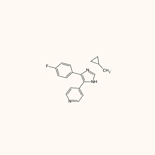 Fc1ccc(-c2nc[nH]c2-c2ccncc2)cc1.[CH2]C1CC1